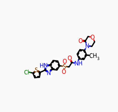 Cc1cc(NC(=O)CS(=O)(=O)c2ccc3[nH]c(-c4ccc(Cl)s4)nc3c2)ccc1N1CCOCC1=O